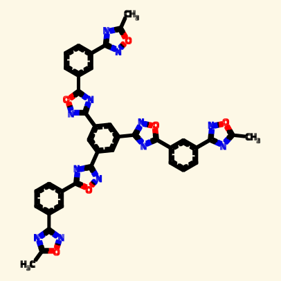 Cc1nc(-c2cccc(-c3nc(-c4cc(-c5noc(-c6cccc(-c7noc(C)n7)c6)n5)cc(-c5noc(-c6cccc(-c7noc(C)n7)c6)n5)c4)no3)c2)no1